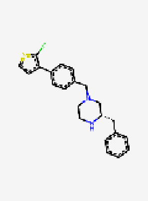 Clc1sccc1-c1ccc(CN2CCN[C@@H](Cc3ccccc3)C2)cc1